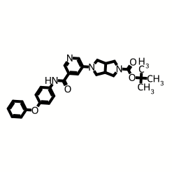 CC(C)(C)OC(=O)N1CC2CN(c3cncc(C(=O)Nc4ccc(Oc5ccccc5)cc4)c3)CC2C1